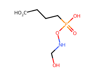 O=C(O)CCCP(=O)(O)ONCO